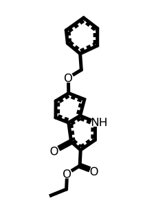 CCOC(=O)c1c[nH]c2cc(OCc3ccccc3)ccc2c1=O